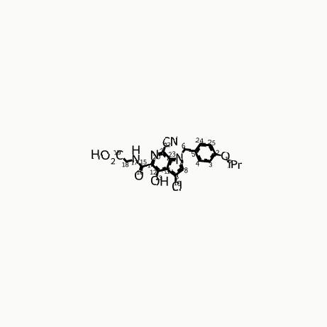 CC(C)Oc1ccc(Cn2cc(Cl)c3c(O)c(C(=O)NCC(=O)O)nc(C#N)c32)cc1